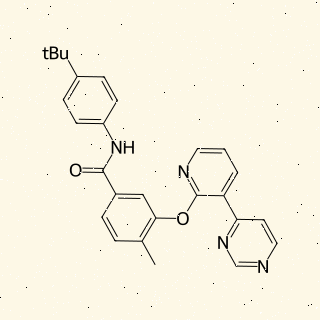 Cc1ccc(C(=O)Nc2ccc(C(C)(C)C)cc2)cc1Oc1ncccc1-c1ccncn1